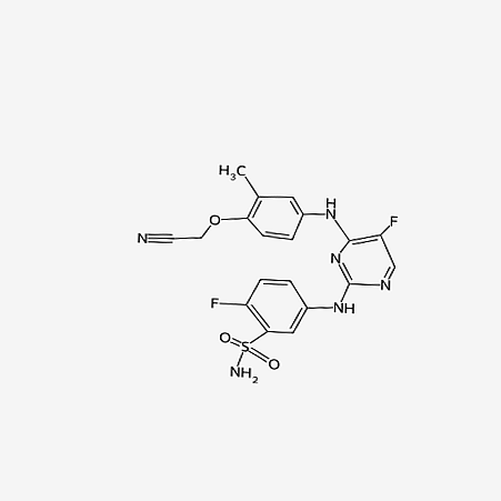 Cc1cc(Nc2nc(Nc3ccc(F)c(S(N)(=O)=O)c3)ncc2F)ccc1OCC#N